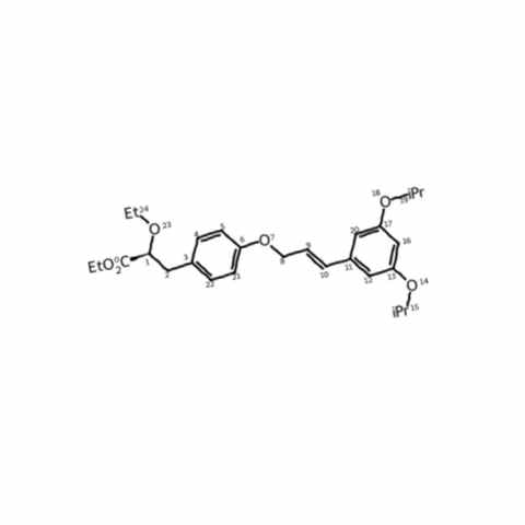 CCOC(=O)[C@H](Cc1ccc(OC/C=C/c2cc(OC(C)C)cc(OC(C)C)c2)cc1)OCC